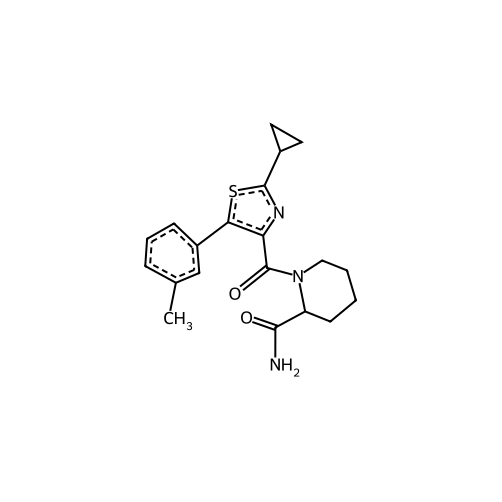 Cc1cccc(-c2sc(C3CC3)nc2C(=O)N2CCCCC2C(N)=O)c1